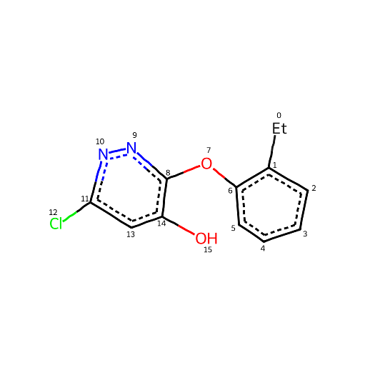 CCc1ccccc1Oc1nnc(Cl)cc1O